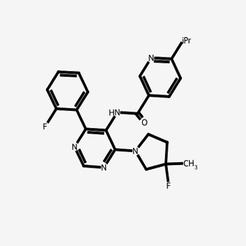 CC(C)c1ccc(C(=O)Nc2c(-c3ccccc3F)ncnc2N2CCC(C)(F)C2)cn1